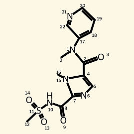 CN(C(=O)c1cnc(C(=O)NS(C)(=O)=O)n1C)c1cccnc1